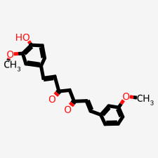 COc1cccc(C=CC(=O)CC(=O)C=Cc2ccc(O)c(OC)c2)c1